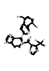 O=C(c1ocnc1C(F)(F)F)N1CCc2[nH]cnc2[C@@H]1c1cc2c(F)ccc(F)c2o1